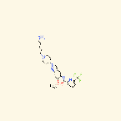 COc1cc2nn(C3CCN(CCCCCN)CC3)cc2cc1NC(=O)c1cccc(C(F)(F)F)n1